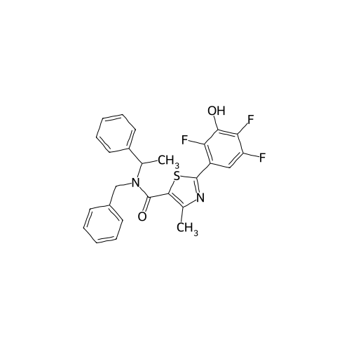 Cc1nc(-c2cc(F)c(F)c(O)c2F)sc1C(=O)N(Cc1ccccc1)C(C)c1ccccc1